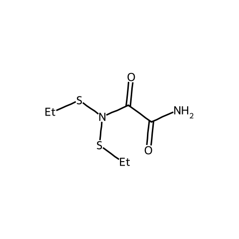 CCSN(SCC)C(=O)C(N)=O